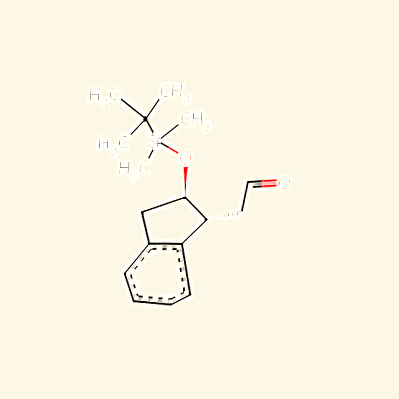 CC(C)(C)[Si](C)(C)O[C@@H]1Cc2ccccc2[C@H]1CC=O